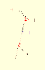 CCCCCCCCC(CCC)OC(=O)CCCCCCCC(N)CCCCCCCC(=O)OC(CCCCCCCC)CCCCCCCC